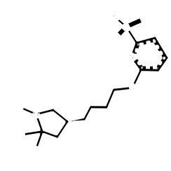 CC1(C)C[C@H](CCCCNc2cccc(S(N)(=O)=O)n2)CN1C(=O)O